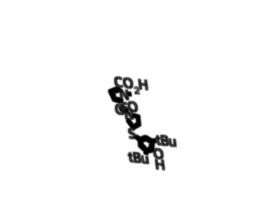 Cn1c(C(=O)O)ccc1S(=O)(=O)N1CCC(Sc2cc(C(C)(C)C)c(O)c(C(C)(C)C)c2)C1